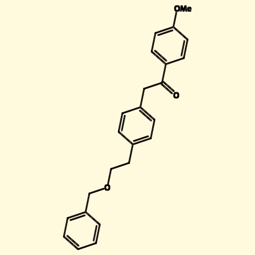 COc1ccc(C(=O)Cc2ccc(CCOCc3ccccc3)cc2)cc1